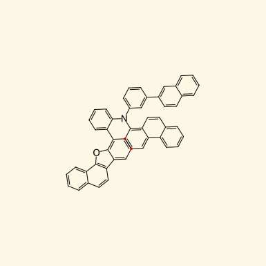 c1cc(-c2ccc3ccccc3c2)cc(N(c2ccccc2-c2cccc3c2oc2c4ccccc4ccc32)c2cccc3c2ccc2ccccc23)c1